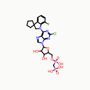 O=P(O)(O)CP(=O)(O)OCC1OC(n2cnc3c(N4CC5(CCCC5)c5cccc(F)c54)nc(Cl)nc32)C(O)C1O